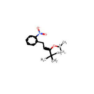 C[SiH](C)OC(=CCc1ccccc1[N+](=O)[O-])C(C)(C)C